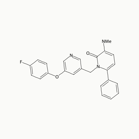 CNc1ccc(-c2ccccc2)n(Cc2cncc(Oc3ccc(F)cc3)c2)c1=O